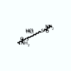 CC(C)CC(N)C(=O)CCSCCCCCCCCCCSCCC(=O)C(N)CC(C)C.Cl.Cl